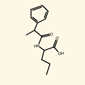 CCCC(NC(=O)C(C)c1ccccc1)C(=O)O